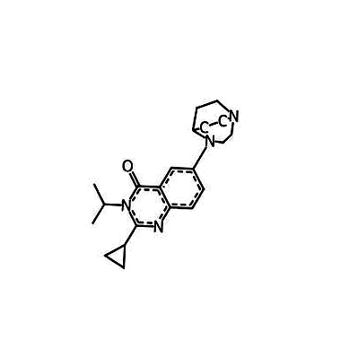 CC(C)n1c(C2CC2)nc2ccc(N3CCN4CCC3CC4)cc2c1=O